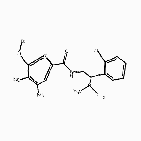 CCOc1nc(C(=O)NCC(c2ccccc2Cl)N(C)C)cc(N)c1C#N